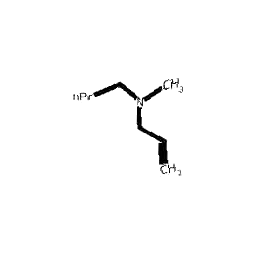 [CH2]CCCN(C)CC=C